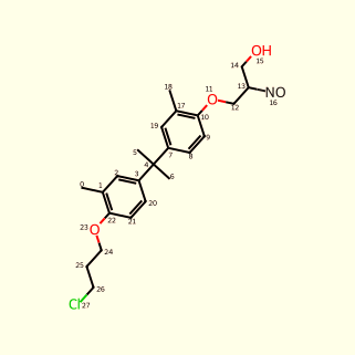 Cc1cc(C(C)(C)c2ccc(OCC(CO)N=O)c(C)c2)ccc1OCCCCl